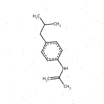 C=C(C)Nc1ccc(CC(C)C)cc1